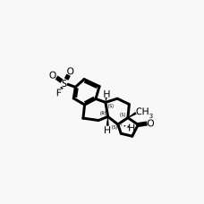 C[C@]12CC[C@@H]3c4ccc(S(=O)(=O)F)cc4CC[C@H]3[C@@H]1CCC2=O